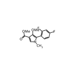 COC(=O)c1cn(C)c(-c2ccc(F)cc2F)c1OC